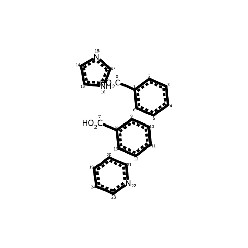 O=C(O)c1ccccc1.O=C(O)c1ccccc1.c1c[nH]cn1.c1ccncc1